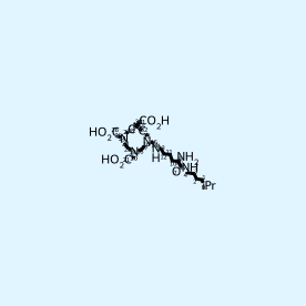 CC(C)CCCCNC(=O)[C@H](N)CCCCNCN1CCN(CC(=O)O)CCN(CC(=O)O)CCN(CC(=O)O)CC1